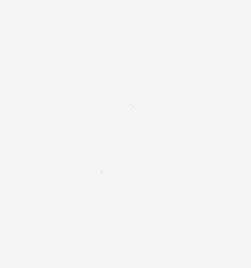 O=[N+]([O-])c1ccc(S(=O)(=O)N(CC2CO2)CC2CO2)cc1